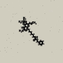 COCC1OC(OCCCCCCNC(=O)OCc2ccccc2)C(NC(C)=O)C2OC(C)(C)OC12